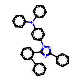 c1ccc(-c2nc(-c3ccccc3-c3ccccc3)n(-c3ccc(N(c4ccccc4)c4ccccc4)cc3)n2)cc1